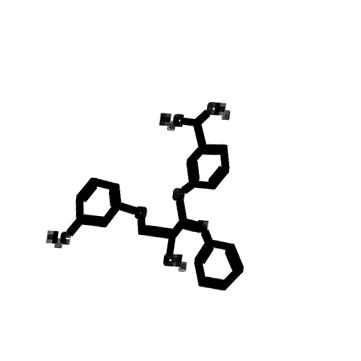 CC(=COc1cccc(C)c1)/C(=N\c1ccccc1)Oc1cccc(C(C)C)c1